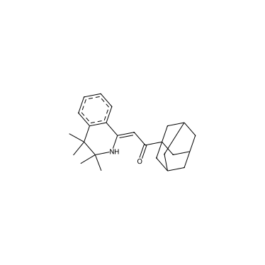 CC1(C)N/C(=C\C(=O)C23CC4CC(CC(C4)C2)C3)c2ccccc2C1(C)C